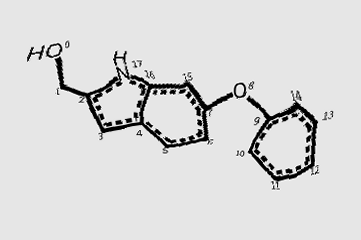 OCc1cc2ccc(Oc3ccccc3)cc2[nH]1